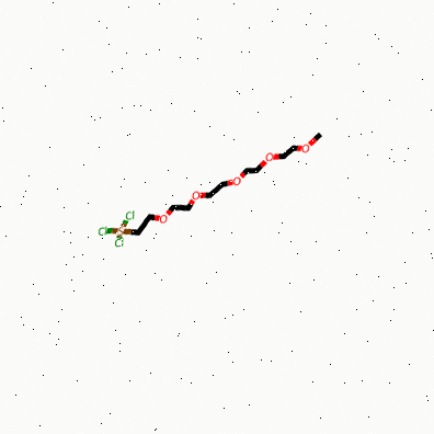 COCCOCCOCCOCCOCCS(Cl)(Cl)Cl